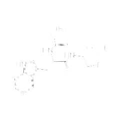 CC(C)C[C@H](NC(=O)[C@H](Cc1c[nH]c2ccccc12)NC(=O)OC(C)(C)C)C(=O)O